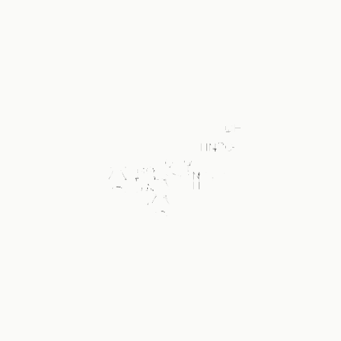 COC1=C(C(=O)NC2CCCC(NC(=O)CO)C2)Cc2c1c(=O)n(CC(=O)c1ccccc1)c1ccccc21